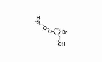 C[SiH](C)CCOCOc1ccc(Br)c(CCO)c1